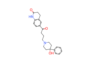 O=C1CCc2cc(C(=O)CCCN3CCC(O)(c4ccccc4)CC3)ccc2N1